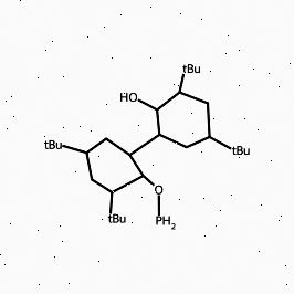 CC(C)(C)C1CC(C2CC(C(C)(C)C)CC(C(C)(C)C)C2OP)C(O)C(C(C)(C)C)C1